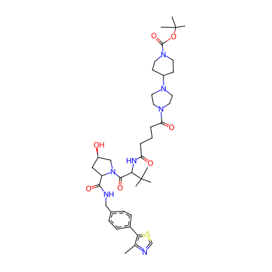 Cc1ncsc1-c1ccc(CNC(=O)C2C[C@@H](O)CN2C(=O)C(NC(=O)CCCC(=O)N2CCN(C3CCN(C(=O)OC(C)(C)C)CC3)CC2)C(C)(C)C)cc1